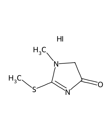 CSC1=NC(=O)CN1C.I